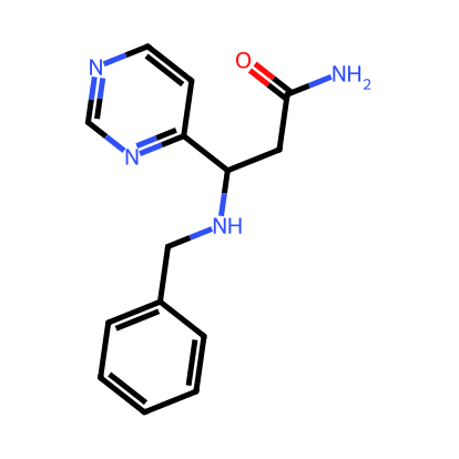 NC(=O)CC(NCc1ccccc1)c1ccncn1